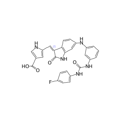 O=C(Nc1ccc(F)cc1)Nc1cccc(Nc2ccc3c(c2)NC(=O)/C3=C\c2cc(C(=O)O)c[nH]2)c1